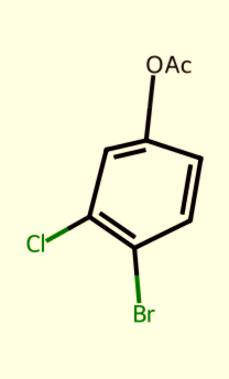 CC(=O)Oc1ccc(Br)c(Cl)c1